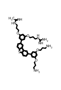 CC(=N)NCCCOc1cc(OCCCNC(=N)N)cc(-c2ccc3sc4ccc(-c5cc(OCCCN)cc(OCCCN)c5)cc4c3c2)c1